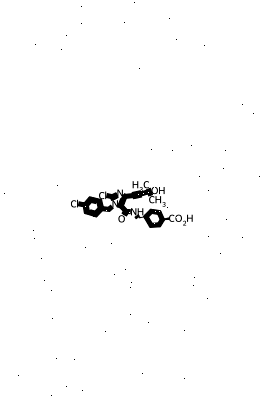 CC(C)(O)C#Cc1nc(Cl)n(Cc2ccc(Cl)cc2)c1C(=O)NC[C@H]1CC[C@H](C(=O)O)CC1